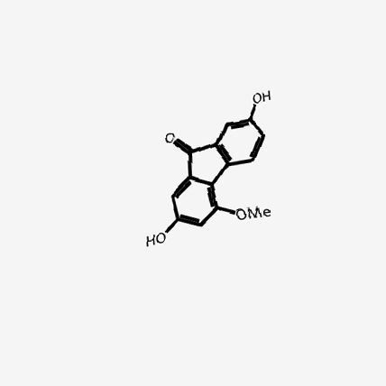 COc1cc(O)cc2c1-c1ccc(O)cc1C2=O